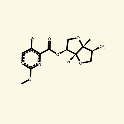 CSc1ncc(Br)c(C(=O)O[C@H]2CO[C@@]3(C)[C@@H]2OC[C@@H]3O)n1